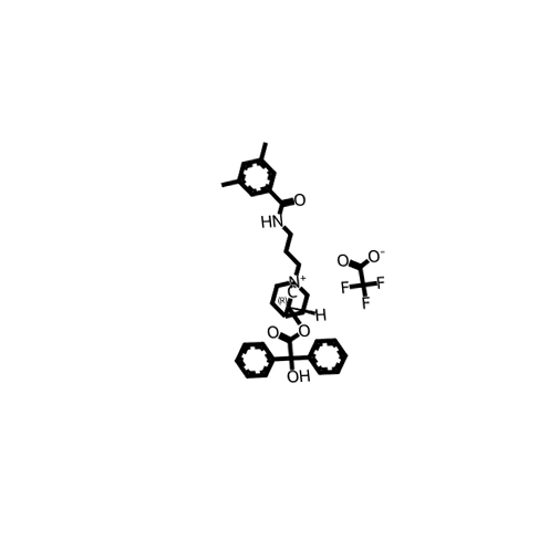 Cc1cc(C)cc(C(=O)NCCC[N+]23CCC(CC2)[C@@H](OC(=O)C(O)(c2ccccc2)c2ccccc2)C3)c1.O=C([O-])C(F)(F)F